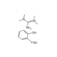 CN(C)C(N)=[N+](C)C.O=C([O-])c1ccccc1O